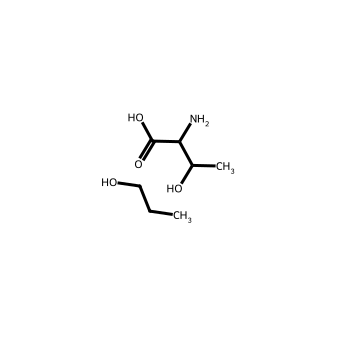 CC(O)C(N)C(=O)O.CCCO